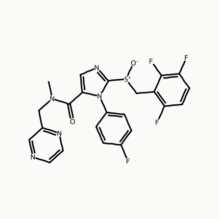 CN(Cc1cnccn1)C(=O)c1cnc([S+]([O-])Cc2c(F)ccc(F)c2F)n1-c1ccc(F)cc1